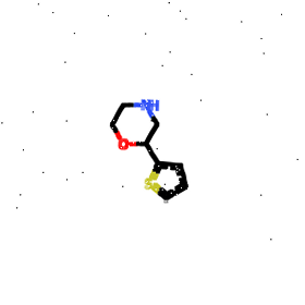 [c]1ccc(C2CNCCO2)s1